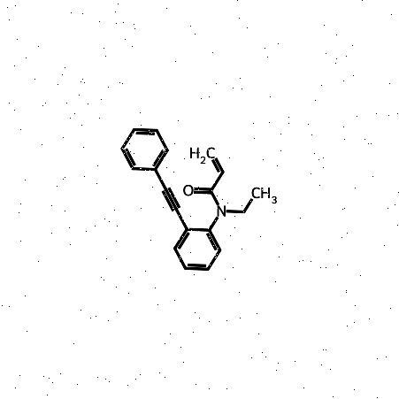 C=CC(=O)N(CC)c1ccccc1C#Cc1ccccc1